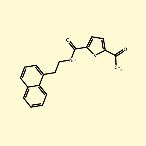 O=C(NCCc1cccc2ccccc12)c1ccc(C(=O)C(F)(F)F)s1